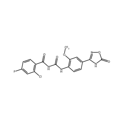 O=C(NC(=O)c1ccc(F)cc1Cl)Nc1ccc(-c2noc(=O)[nH]2)cc1OC(F)(F)F